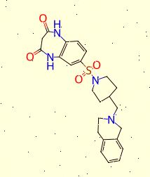 O=C1CC(=O)Nc2cc(S(=O)(=O)N3CCC(CN4CCc5ccccc5C4)CC3)ccc2N1